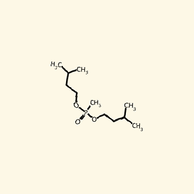 CC(C)CCOP(C)(=O)OCCC(C)C